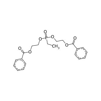 CCP(=O)(OCCOC(=O)c1ccccc1)OCCOC(=O)c1ccccc1